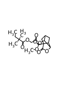 CCC(C)(C)C(=O)OCC(=O)OC1C2CC3C1OC(=O)C3(C(=O)OC)C2